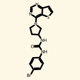 O=C(Nc1ccc(Br)cc1)NC1CCN(c2ncnc3ccsc23)C1